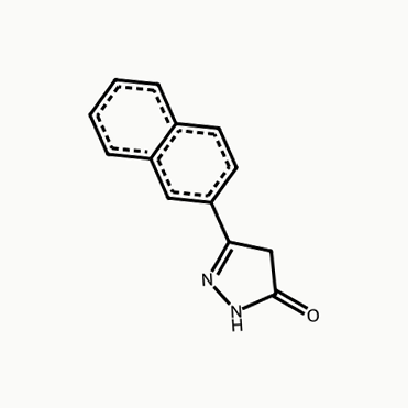 O=C1CC(c2ccc3ccccc3c2)=NN1